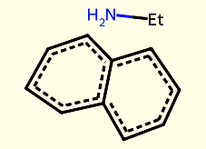 CCN.c1ccc2ccccc2c1